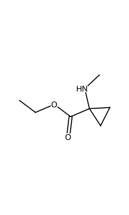 CCOC(=O)C1(NC)CC1